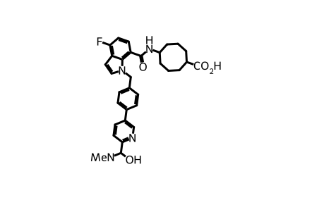 CNC(O)c1ccc(-c2ccc(Cn3ccc4c(F)ccc(C(=O)NC5CCCC(C(=O)O)CCC5)c43)cc2)cn1